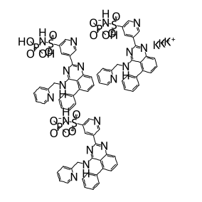 O=P(O)(O)NS(=O)(=O)c1cncc(-c2nc(NCc3ccccn3)c3c(-c4ccccc4)cccc3n2)c1.O=P([O-])(O)NS(=O)(=O)c1cncc(-c2nc(NCc3ccccn3)c3c(-c4ccccc4)cccc3n2)c1.O=P([O-])([O-])NS(=O)(=O)c1cncc(-c2nc(NCc3ccccn3)c3c(-c4ccccc4)cccc3n2)c1.[K+].[K+].[K+]